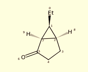 CC[C@H]1[C@H]2CCC(=O)[C@H]21